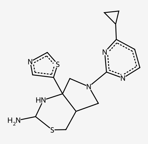 NC1NC2(c3cncs3)CN(c3nccc(C4CC4)n3)CC2CS1